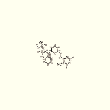 Cc1cc(C)c(C#N)c(SCc2cccc(-c3cc(CC(C)S(C)(=O)=O)cc4cccnc34)c2)n1